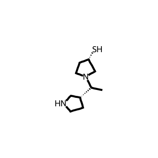 CC([C@@H]1CCNC1)N1CC[C@H](S)C1